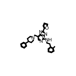 Cc1ccccc1CCNc1ncc(CN2CCC(c3ccccc3)CC2)c2nc(-c3ccco3)nn12